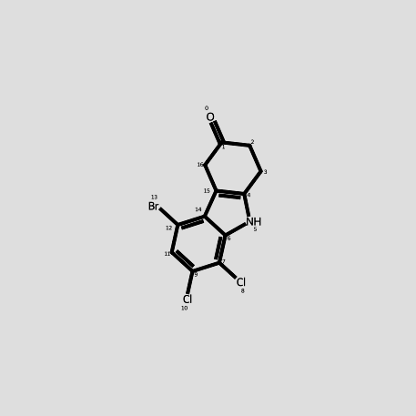 O=C1CCc2[nH]c3c(Cl)c(Cl)cc(Br)c3c2C1